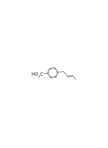 CC=CCc1ccc(C(=O)O)cc1